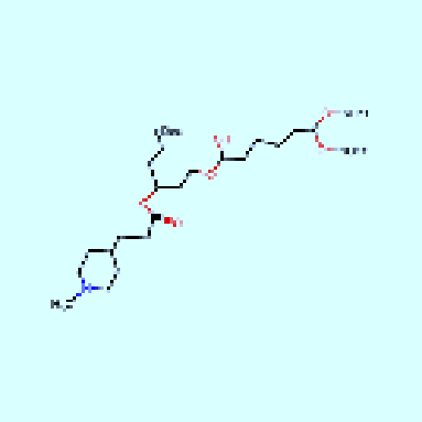 CCCCCCCCCCCCC(CCOC(O)CCCCC(OCCCCCCCC)OCCCCCCCC)OC(=O)CCC1CCN(C)CC1